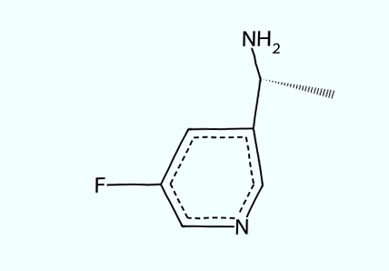 C[C@@H](N)c1cncc(F)c1